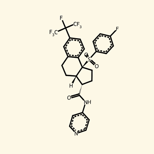 O=C(Nc1ccncc1)[C@H]1CC[C@@]2(S(=O)(=O)c3ccc(F)cc3)c3ccc(C(F)(C(F)(F)F)C(F)(F)F)cc3CC[C@@H]12